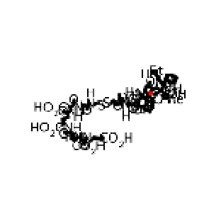 CCNCCc1c(C(Cc2cc3c(cc2OC)N(C)[C@H]2[C@@](O)(C(=O)NNC(=O)OCCSSCCNC(=O)CNC(=O)[C@H](CC(=O)O)NC(=O)CC[C@H](NC(=O)CC[C@H](NC(=O)NCCCC(=O)O)C(=O)O)C(=O)O)[C@H](O)[C@]4(CC)C=CCN5CC[C@]32C54)(C(=O)OC)C2CC[C@@]2(O)CC)[nH]c2ccccc12